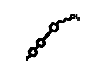 C=CCCCC1CCC(C#Cc2ccc(-c3ccc(F)cc3)cc2)CC1